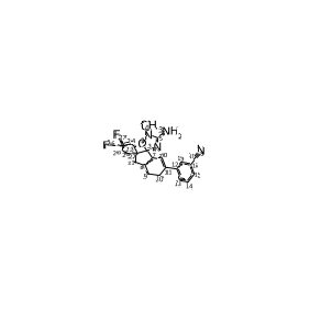 CN1OC2(N=C1N)C1=C(CCC(c3cccc(C#N)c3)=C1)CC21CCC(F)(F)CC1